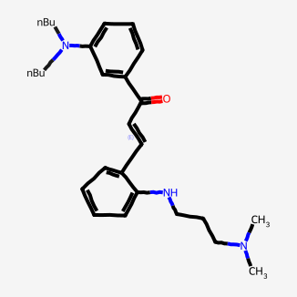 CCCCN(CCCC)c1cccc(C(=O)/C=C/c2ccccc2NCCCN(C)C)c1